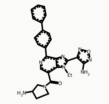 CCn1c(-c2nonc2N)nc2c(-c3ccc(-c4ccccc4)cc3)ncc(C(=O)N3CCC(N)C3)c21